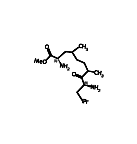 COC(=O)[C@@H](N)CC(C)CCC(C)C(=O)[C@@H](N)CC(C)C